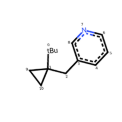 CC(C)(C)C1(Cc2cccnc2)CC1